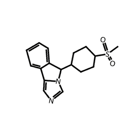 CS(=O)(=O)C1CCC(C2c3ccccc3-c3cncn32)CC1